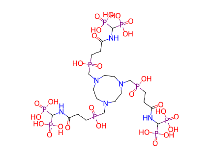 O=C(CCP(=O)(O)CN1CCN(CP(=O)(O)CCC(=O)NC(P(=O)(O)O)P(=O)(O)O)CCN(CP(=O)(O)CCC(=O)NC(P(=O)(O)O)P(=O)(O)O)CC1)NC(P(=O)(O)O)P(=O)(O)O